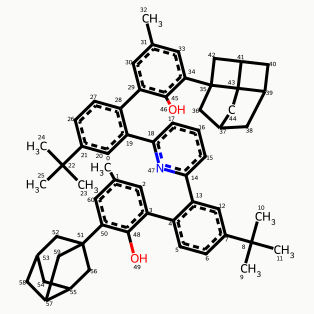 Cc1cc(-c2ccc(C(C)(C)C)cc2-c2cccc(-c3cc(C(C)(C)C)ccc3-c3cc(C)cc(C45CC6CC7CC(C4)C75C6)c3O)n2)c(O)c(C23CC4CC(C2)C(C4)C3)c1